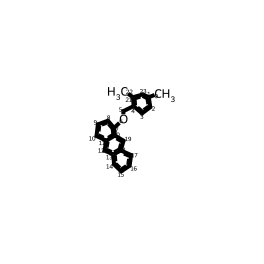 Cc1ccc(COc2cccc3cc4ccccc4cc23)c(C)c1